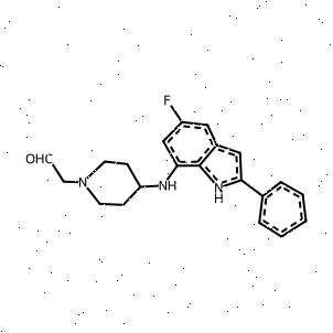 O=CCN1CCC(Nc2cc(F)cc3cc(-c4ccccc4)[nH]c23)CC1